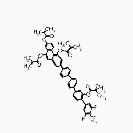 C=C(C)C(=O)Oc1ccc2c(c1)c(OC(=O)C(=C)C)cc1cc(-c3ccc(-c4ccc(-c5ccc(-c6cc(F)c(C(F)(F)F)c(F)c6)c(OC(=O)C(=C)C)c5)cc4)cc3)cc(OC(=O)C(=C)C)c12